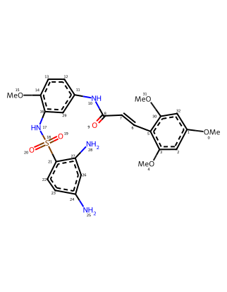 COc1cc(OC)c(C=CC(=O)Nc2ccc(OC)c(NS(=O)(=O)c3ccc(N)cc3N)c2)c(OC)c1